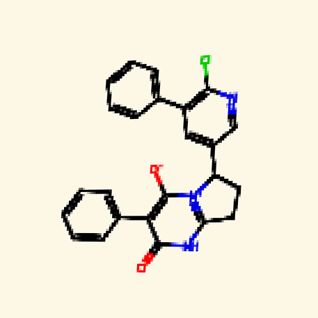 O=c1[nH]c2[n+](c([O-])c1-c1ccccc1)C(c1cnc(Cl)c(-c3ccccc3)c1)CC2